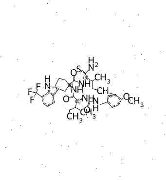 CCC(C)[C@H](NC(=O)NCc1ccc(OC)cc1)C(=O)N[C@]1(C(=O)N[C@H](C(N)=S)C(C)CC)CCc2[nH]c3c(C(F)(F)F)cccc3c2C1